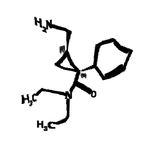 CCN(CC)C(=O)[C@@]1(C2C=CC=CC2)C[C@H]1CN